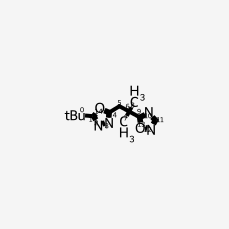 CC(C)(C)c1nnc(CC(C)(C)c2ncno2)o1